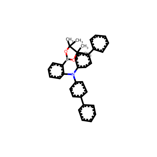 CC1(C)OB(c2ccccc2N(c2ccc(-c3ccccc3)cc2)c2ccc(-c3ccccc3)cc2)OC1(C)C